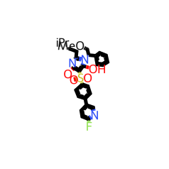 COCC(c1ccccc1)n1c(CCC(C)C)nc(=O)c(S(=O)(=O)c2ccc(-c3ccc(F)nc3)cc2)c1O